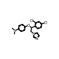 CN(C)c1ccc(OC(Cn2ccnc2)c2ccc(Cl)cc2Cl)cc1